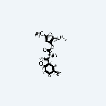 Cc1cc(OC(=O)Nc2noc3ccc(Br)cc23)c(C)o1